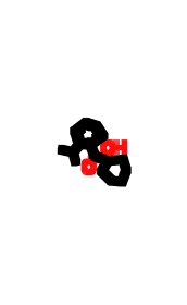 CC(C)c1ccccc1C(=O)C1(O)CCCCC1